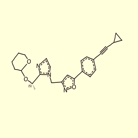 C[C@H](OC1CCCCO1)c1nccn1Cc1cc(-c2ccc(C#CC3CC3)cc2)on1